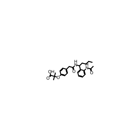 CCCCC(NC(=O)Cc1ccc(OC(C)(C)C(=O)O)cc1)c1ccccc1NC(C)=O